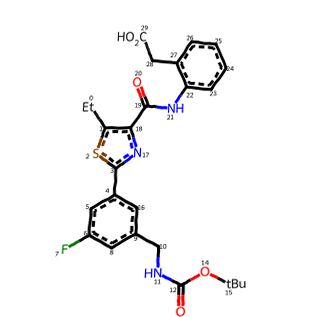 CCc1sc(-c2cc(F)cc(CNC(=O)OC(C)(C)C)c2)nc1C(=O)Nc1ccccc1CC(=O)O